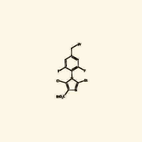 CCOC(=O)c1nc(CC)n(-c2c(F)cc(CC(C)C)cc2F)c1Cl